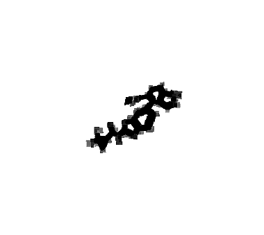 Cc1ccc2[nH]ncc2c1-c1ccc2nc(NC(=O)C3CC3(F)F)sc2c1